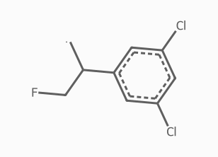 [CH2]C(CF)c1cc(Cl)cc(Cl)c1